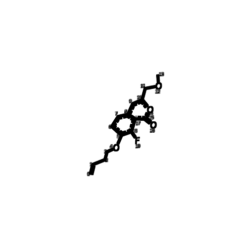 C=CCCOc1ccc2cc(COC)oc(=O)c2c1F